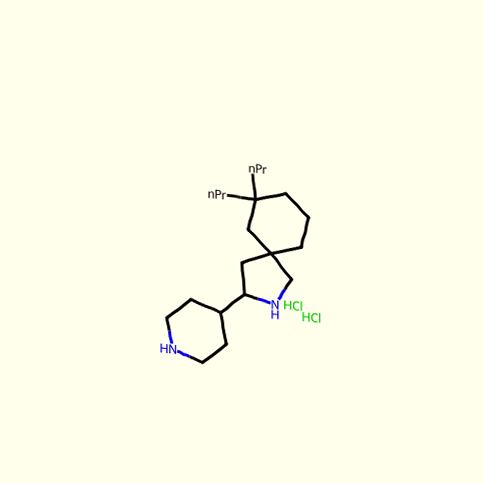 CCCC1(CCC)CCCC2(CNC(C3CCNCC3)C2)C1.Cl.Cl